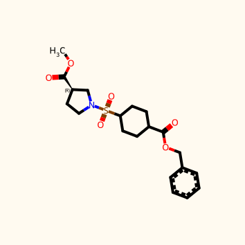 COC(=O)[C@@H]1CCN(S(=O)(=O)C2CCC(C(=O)OCc3ccccc3)CC2)C1